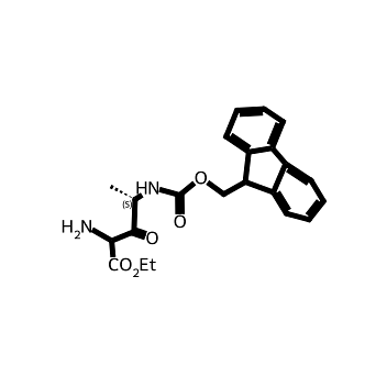 CCOC(=O)C(N)C(=O)[C@H](C)NC(=O)OCC1c2ccccc2-c2ccccc21